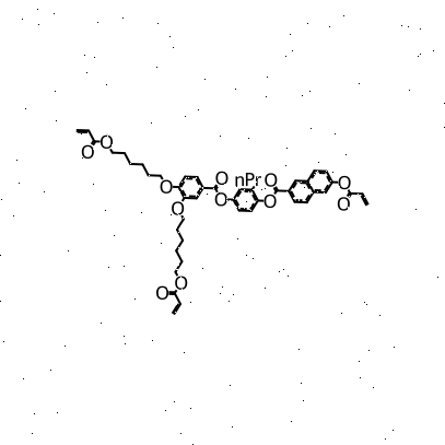 C=CC(=O)OCCCCCCOc1ccc(C(=O)Oc2ccc(OC(=O)c3ccc4cc(OC(=O)C=C)ccc4c3)c(CCC)c2)cc1OCCCCCCOC(=O)C=C